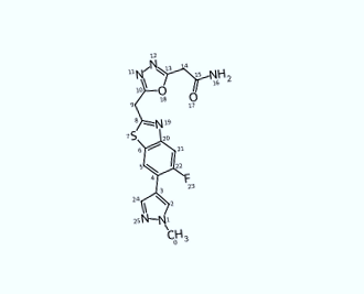 Cn1cc(-c2cc3sc(Cc4nnc(CC(N)=O)o4)nc3cc2F)cn1